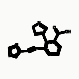 O=C(O)c1cccc(C#Cc2cscn2)c1C1=CCN=C1